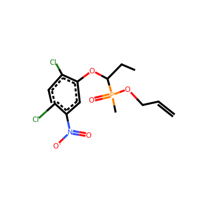 C=CCOP(C)(=O)C(CC)Oc1cc([N+](=O)[O-])c(Cl)cc1Cl